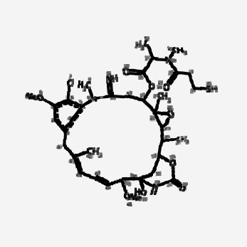 COc1cc2cc(c1Cl)N(C)C(=N)CC(OC(=O)C(C)N(C)C(=O)CCS)C1(C)OC1C(C)C1CC(O)(NC(=O)O1)C(OC)/C=C/C=C(\C)C2